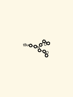 CC(C)(C)c1ccc(-c2ccc(N(c3ccc(-c4cccc5c4oc4ccccc45)cc3)c3cccc(-c4ccc5oc6ccccc6c5c4)c3)cc2)cc1